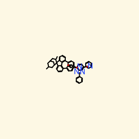 CC1CC2CC(C)C3(c4cccc(-c5ccc(-c6ccc(C#N)cc6)cc5)c4-c4c(-c5ccc(-c6nc(-c7ccccc7)nc(-c7ccccc7)n6)cc5)cccc43)C(C1)C2